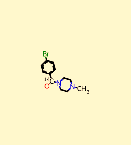 CN1CCN([14C](=O)c2ccc(Br)cc2)CC1